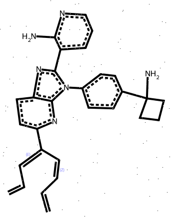 C=C/C=C\C(=C/C=C)c1ccc2nc(-c3cccnc3N)n(-c3ccc(C4(N)CCC4)cc3)c2n1